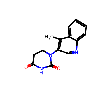 Cc1c(N2CCC(=O)NC2=O)cnc2ccccc12